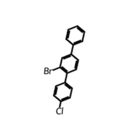 Clc1ccc(-c2ccc(-c3ccccc3)cc2Br)cc1